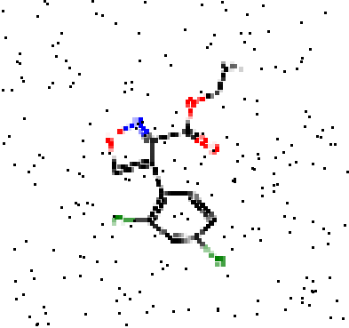 CCOC(=O)c1nocc1-c1ccc(Cl)cc1Cl